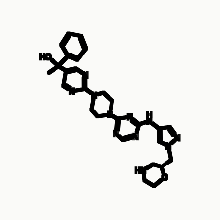 CC(O)(c1ccccc1)c1cnc(N2CCN(c3ncnc(Nc4cnn(C[C@@H]5CNCCO5)c4)n3)CC2)nc1